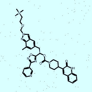 Cc1cc(C[C@@H](OC(=O)N2CCC(c3cc4ccccc4[nH]c3=O)CC2)c2nc(-c3cccnc3)no2)cc2cn(COCC[Si](C)(C)C)nc12